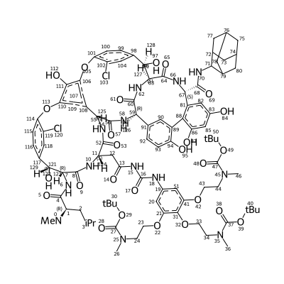 CN[C@H](CC(C)C)C(=O)N[C@H]1C(=O)N[C@@H](CC(=O)NC(=O)Nc2cc(OCCN(C)C(=O)OC(C)(C)C)c(OCCN(C)C(=O)OC(C)(C)C)c(OCCN(C)C(=O)OC(C)(C)C)c2)C(=O)N[C@H]2C(=O)N[C@H]3C(=O)N[C@H](C(=O)N[C@H](C(=O)NC4C5CC6CC(C5)CC4C6)c4cc(O)cc(O)c4-c4cc3ccc4O)[C@H](O)c3ccc(c(Cl)c3)Oc3cc2cc(c3O)Oc2ccc(cc2Cl)[C@H]1O